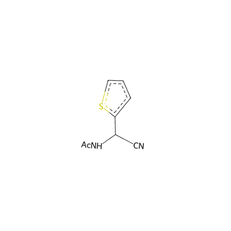 CC(=O)NC(C#N)c1cccs1